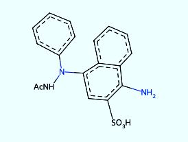 CC(=O)NN(c1ccccc1)c1cc(S(=O)(=O)O)c(N)c2ccccc12